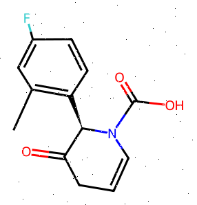 Cc1cc(F)ccc1[C@@H]1C(=O)CC=CN1C(=O)O